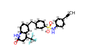 C#Cc1ccc(NS(=O)(=O)c2ccc(Cc3ccc4[nH]c(=O)cc(C(F)(F)F)c4c3)cc2)cc1